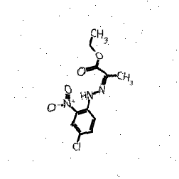 CCOC(=O)/C(C)=N\Nc1ccc(Cl)cc1[N+](=O)[O-]